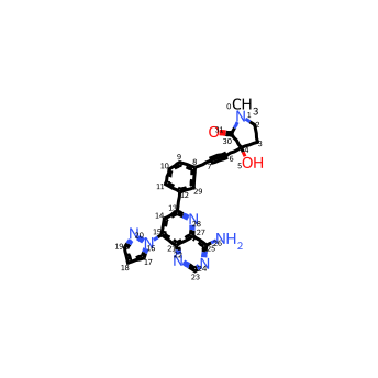 CN1CCC(O)(C#Cc2cccc(-c3cc(-n4cccn4)c4ncnc(N)c4n3)c2)C1=O